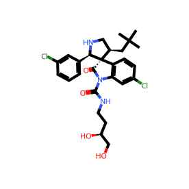 CC(C)(C)C[C@@H]1CN[C@H](c2cccc(Cl)c2)[C@@]12C(=O)N(C(=O)NCC[C@H](O)CO)c1cc(Cl)ccc12